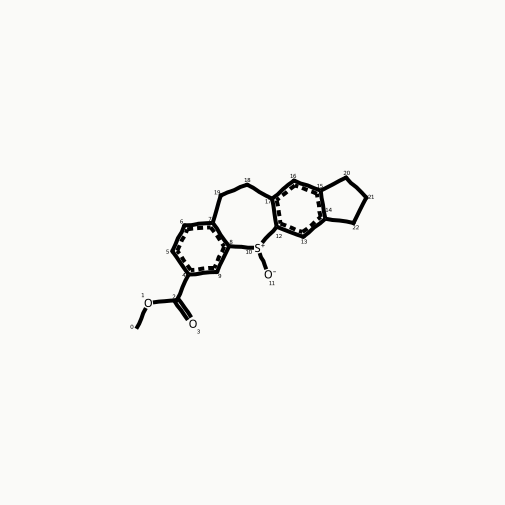 COC(=O)c1ccc2c(c1)[S+]([O-])c1cc3c(cc1CC2)CCC3